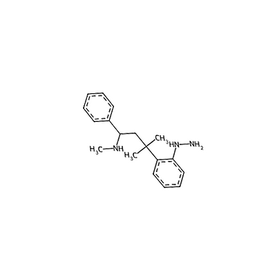 CNC(CC(C)(C)c1ccccc1NN)c1ccccc1